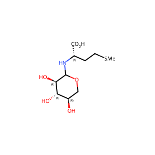 CSCC[C@H](NC1OC[C@@H](O)[C@H](O)[C@H]1O)C(=O)O